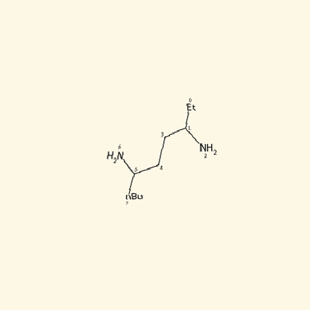 [CH2]CC(N)CCC(N)CCCC